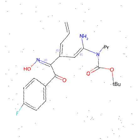 C=C/C=C(\C=C(/N)N(C(=O)OC(C)(C)C)C(C)C)C(=N/O)/C(=O)c1ccc(F)cc1